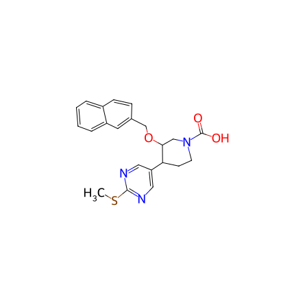 CSc1ncc(C2CCN(C(=O)O)CC2OCc2ccc3ccccc3c2)cn1